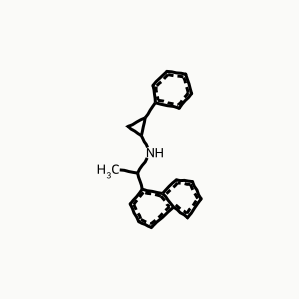 CC(NC1CC1c1ccccc1)c1cccc2ccccc12